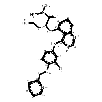 CN(C)C(=O)[C@@H](CCO)Oc1cccc2ncnc(Nc3ccc(OCc4ccccn4)c(Cl)c3)c12